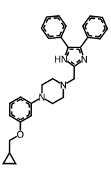 c1ccc(-c2nc(CN3CCN(c4cccc(OCC5CC5)c4)CC3)[nH]c2-c2ccccc2)cc1